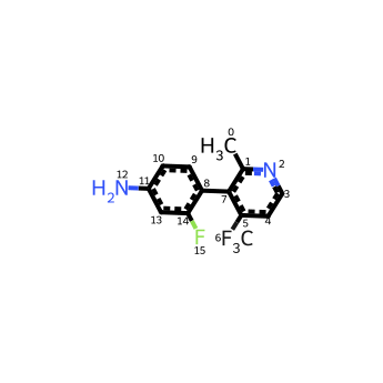 Cc1nccc(C(F)(F)F)c1-c1ccc(N)cc1F